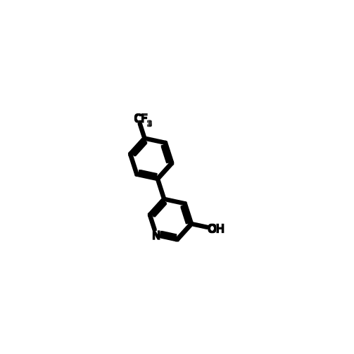 Oc1cncc(-c2ccc(C(F)(F)F)cc2)c1